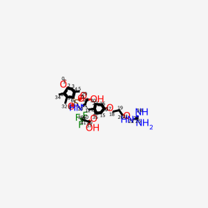 COc1cc(C)c(S(=O)(=O)N[C@@H](Cc2ccc(OCCCONC(=N)N)cc2)C(=O)O)c(C)c1C.O=C(O)C(F)(F)F